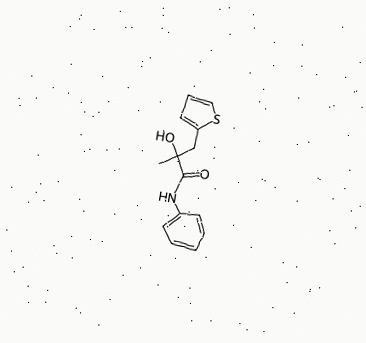 CC(O)(Cc1cccs1)C(=O)Nc1ccccc1